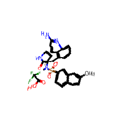 COc1ccc2ccc(S(=O)(=O)N(C)[C@@]3(Cc4cccc5nc(N)ccc45)CCNC3=O)cc2c1.O=C(O)C(F)(F)F